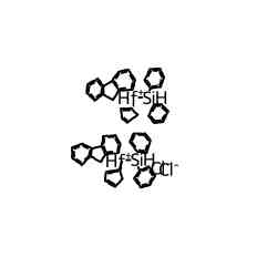 C1=CC[C]([Hf+]([c]2cccc3c2Cc2ccccc2-3)[SiH](c2ccccc2)c2ccccc2)=C1.C1=CC[C]([Hf+]([c]2cccc3c2Cc2ccccc2-3)[SiH](c2ccccc2)c2ccccc2)=C1.[Cl-].[Cl-]